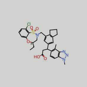 CC[C@@H]1CN(Cc2cc(C(CC(=O)O)c3ccc4c(nnn4C)c3C)cc3c2CCC3)S(=O)(=O)c2c(Cl)cccc2O1